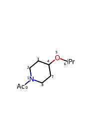 CC(=O)N1CCC(OC(C)C)CC1